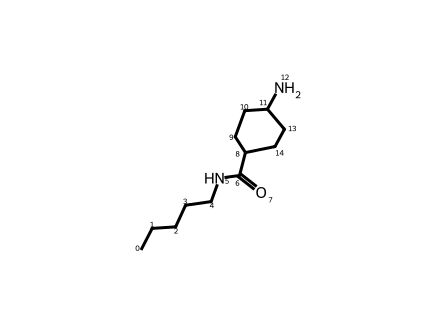 CCCCCNC(=O)C1CCC(N)CC1